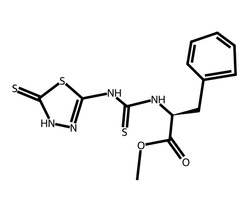 COC(=O)[C@H](Cc1ccccc1)NC(=S)Nc1n[nH]c(=S)s1